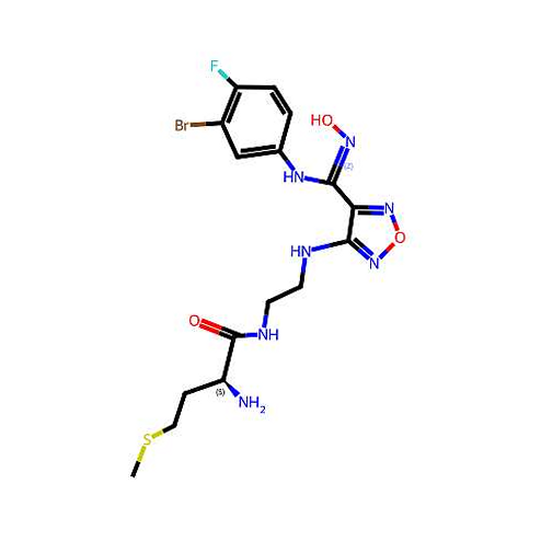 CSCC[C@H](N)C(=O)NCCNc1nonc1/C(=N/O)Nc1ccc(F)c(Br)c1